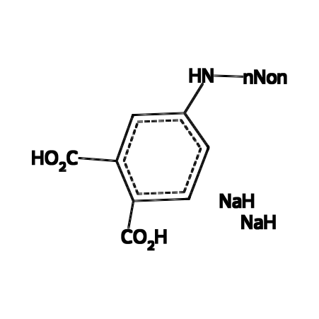 CCCCCCCCCNc1ccc(C(=O)O)c(C(=O)O)c1.[NaH].[NaH]